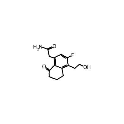 NC(=O)Cc1cc(F)c(CCO)c2c1C(=O)CCC2